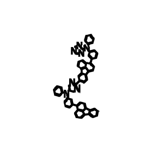 c1ccc(N(c2cnc(-c3ccc4c(c3)-c3cccc5c(-c6cccc(N(c7ccccc7)c7ncncn7)c6)ccc-4c35)nc2)c2cccc(-c3ccc4c5c(cccc35)-c3ccccc3-4)c2)cc1